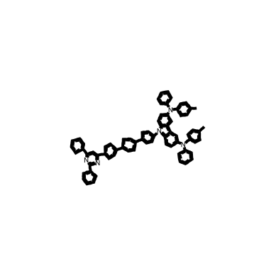 Cc1ccc(N(c2ccccc2)c2ccc3c(c2)c2cc(N(c4ccccc4)c4ccc(C)cc4)ccc2n3-c2ccc(-c3ccc(-c4ccc(-c5cc(-c6ccccc6)nc(-c6ccccc6)n5)cc4)cc3)cc2)cc1